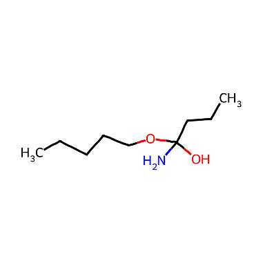 CCCCCOC(N)(O)CCC